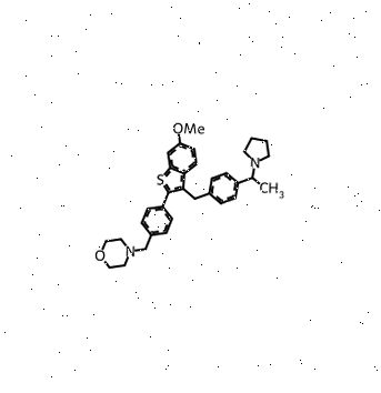 COc1ccc2c(Cc3ccc(C(C)N4CCCC4)cc3)c(-c3ccc(CN4CCOCC4)cc3)sc2c1